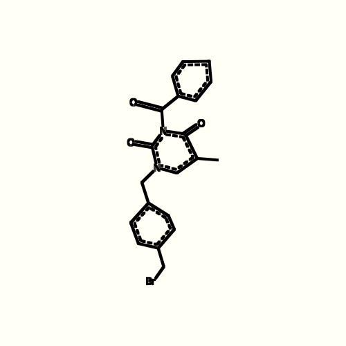 Cc1cn(Cc2ccc(CBr)cc2)c(=O)n(C(=O)c2ccccc2)c1=O